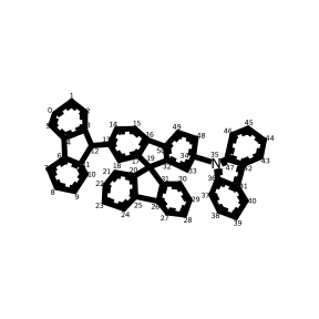 c1ccc2c(c1)-c1ccccc1C2c1ccc2c(c1)C1(c3ccccc3-c3ccccc31)c1cc(-n3c4ccccc4c4ccccc43)ccc1-2